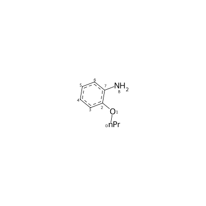 [CH2]CCOc1ccccc1N